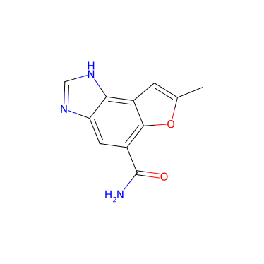 Cc1cc2c(o1)c(C(N)=O)cc1nc[nH]c12